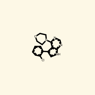 Clc1ccccc1-c1c[nH]c2ncnc(N3CCOCC3)c12